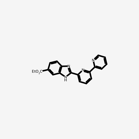 CCOC(=O)c1ccc2nc(-c3cccc(-c4ccccn4)n3)[nH]c2c1